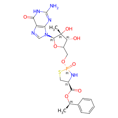 C[C@@H](OC(=O)[C@H]1CS[P@](=O)(OCC2O[C@@H](n3cnc4c(=O)[nH]c(N)nc43)[C@](C)(O)[C@@H]2O)N1)c1ccccc1